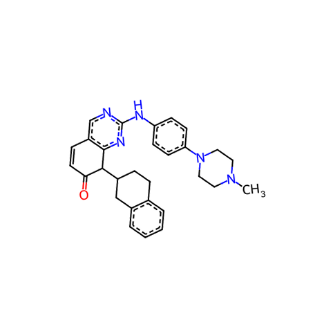 CN1CCN(c2ccc(Nc3ncc4c(n3)C(C3CCc5ccccc5C3)C(=O)C=C4)cc2)CC1